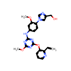 C=Cc1ncccc1Oc1nc(Nc2ccc(-n3cnc(CO)c3)c(OC)c2)nc(OC)n1